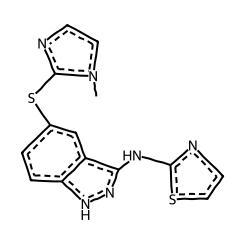 Cn1ccnc1Sc1ccc2[nH]nc(Nc3nccs3)c2c1